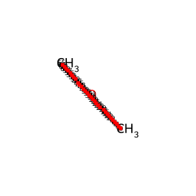 CCCCCCCCCCCCCCCCCCCCCCCCCCCCCCCCC(=O)CCCCCCCCCCCCCCCCCCCCCCCCCCCCCCCC